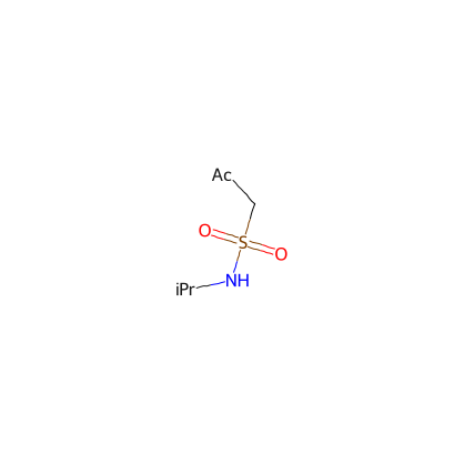 CC(=O)CS(=O)(=O)NC(C)C